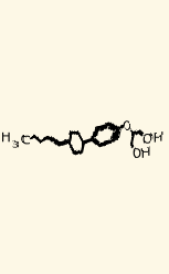 CCCCCC1CCC(c2ccc(OC(CO)CO)cc2)CC1